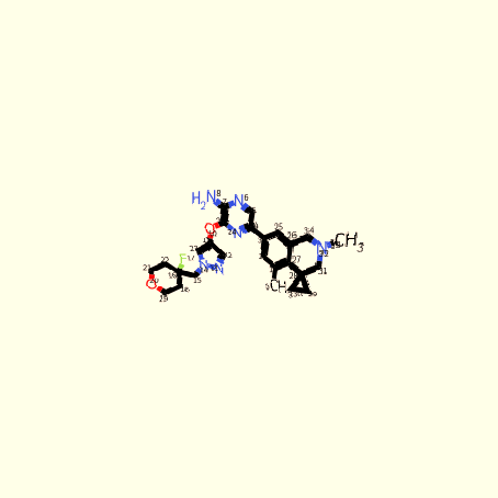 Cc1cc(-c2cnc(N)c(Oc3cnn(CC4(F)CCOCC4)c3)n2)cc2c1C1(CC1)CN(C)C2